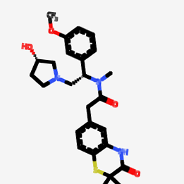 CN(C(=O)Cc1ccc2c(c1)NC(=O)C(C)(C)S2)[C@H](CN1CC[C@H](O)C1)c1cccc(OC(F)(F)F)c1